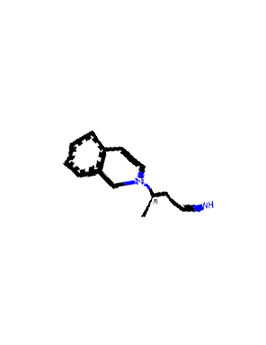 C[C@H](CC=N)N1C=Cc2ccccc2C1